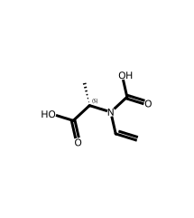 C=CN(C(=O)O)[C@@H](C)C(=O)O